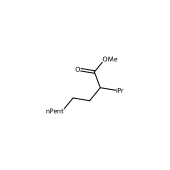 CCCCCCCC(C(=O)OC)C(C)C